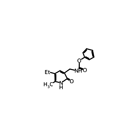 CCc1cc(CNC(=O)Oc2ccccc2)c(=O)[nH]c1C